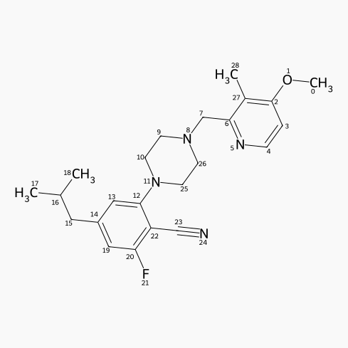 COc1ccnc(CN2CCN(c3cc(CC(C)C)cc(F)c3C#N)CC2)c1C